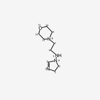 C1=NCCN1NCCN1CCOCC1